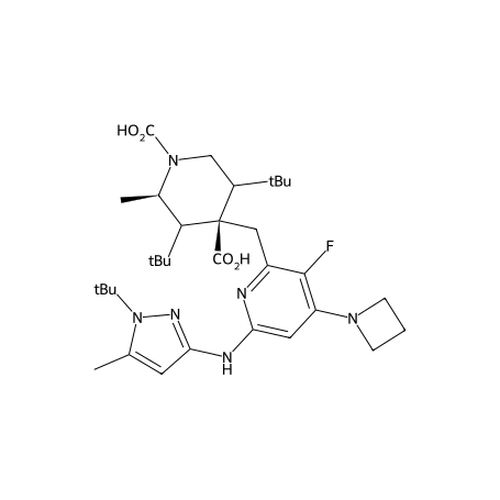 Cc1cc(Nc2cc(N3CCC3)c(F)c(C[C@@]3(C(=O)O)C(C(C)(C)C)CN(C(=O)O)[C@H](C)C3C(C)(C)C)n2)nn1C(C)(C)C